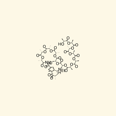 CCN[C@H]1C[C@H](C)S(=O)(=O)c2sc(S(=O)(=O)NC(=O)[C@H](C)OC(=O)[C@H](C)OC(=O)[C@H](C)OC(=O)[C@H](C)OC(=O)[C@H](C)OC(=O)[C@H](C)OC(=O)[C@H](C)OC(=O)[C@H](C)OC(=O)[C@H](C)OC(=O)[C@H](C)OC(=O)[C@H](C)OC(=O)[C@H](C)O)cc21